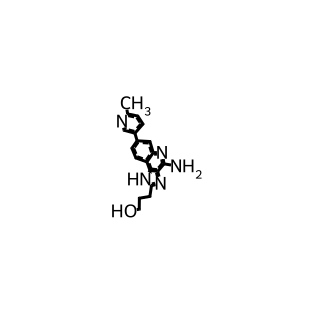 Cc1ccc(-c2ccc3c(c2)nc(N)c2nc(CCCO)[nH]c23)cn1